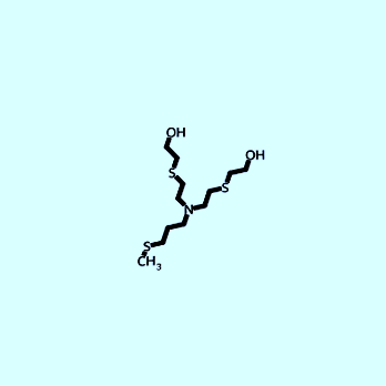 CSCCCN(CCSCCO)CCSCCO